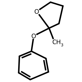 CC1(Oc2ccccc2)CCCO1